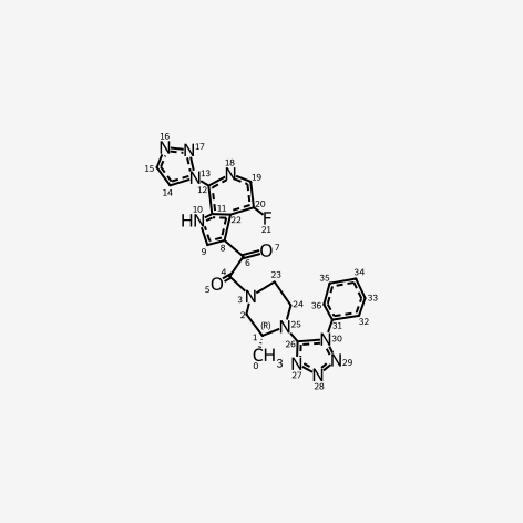 C[C@@H]1CN(C(=O)C(=O)c2c[nH]c3c(-n4ccnn4)ncc(F)c23)CCN1c1nnnn1-c1ccccc1